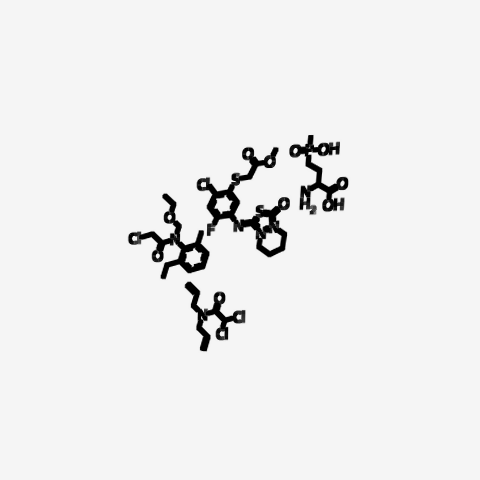 C=CCN(CC=C)C(=O)C(Cl)Cl.CCOCN(C(=O)CCl)c1c(C)cccc1CC.COC(=O)CSc1cc(/N=c2\sc(=O)n3n2CCCC3)c(F)cc1Cl.CP(=O)(O)CCC(N)C(=O)O